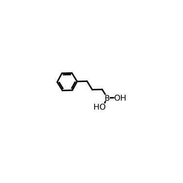 OB(O)CCCc1ccccc1